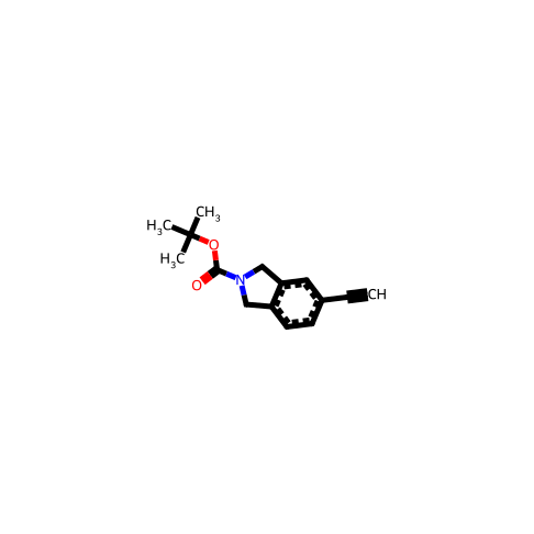 C#Cc1ccc2c(c1)CN(C(=O)OC(C)(C)C)C2